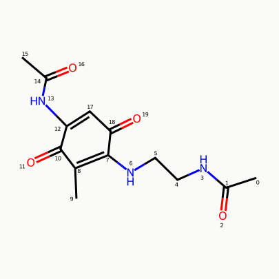 CC(=O)NCCNC1=C(C)C(=O)C(NC(C)=O)=CC1=O